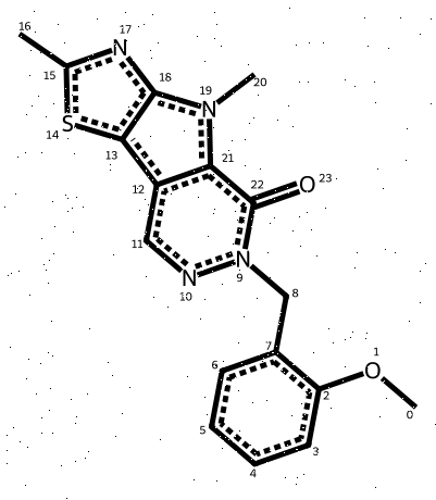 COc1ccccc1Cn1ncc2c3sc(C)nc3n(C)c2c1=O